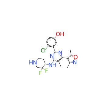 Cc1noc(C)c1-c1nc(-c2cc(O)ccc2Cl)nc(NC2CCNCC2(F)F)c1C